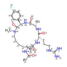 CC[C@@H]1NC(=O)[C@H](CCCNC(=N)N)NC(=O)[C@](C)(NC(=O)C(C)C)CCCCN(C)C(=O)[C@@H](c2ccc(F)cc2)NC1=O